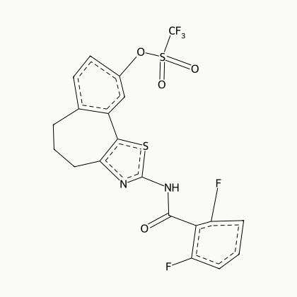 O=C(Nc1nc2c(s1)-c1cc(OS(=O)(=O)C(F)(F)F)ccc1CCC2)c1c(F)cccc1F